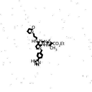 CCOC(=O)c1sc(Nc2nc(NCCCN3CCCC3=O)c3c(n2)N(Cc2ccc(-c4nnn[nH]4)cc2)CC3)nc1C